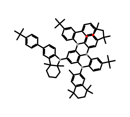 Cc1cc2c(cc1N1c3ccc(C(C)(C)C)cc3B3c4cc5c(cc4N(c4ccc(C(C)(C)C)cc4-c4ccccc4)c4cc(N6c7ccc(-c8ccc(C(C)(C)C)cc8)cc7C7(C)CCCCC67C)cc1c43)C(C)(C)CC5(C)C)C(C)(C)CCC2(C)C